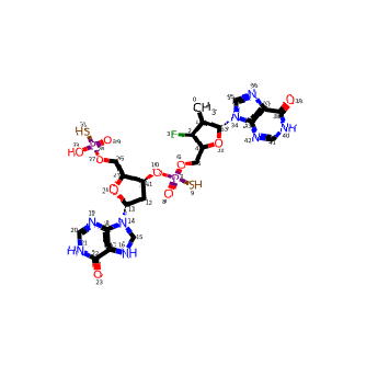 CC1C(F)C(COP(=O)(S)O[C@H]2C[C@H](N3CNc4c3nc[nH]c4=O)OC2COP(=O)(O)S)O[C@H]1n1cnc2c(=O)[nH]cnc21